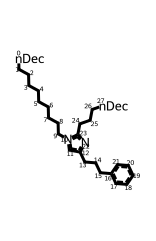 CCCCCCCCCCCCCCCCCCCn1cc(CCCc2ccccc2)nc1CCCCCCCCCCCCC